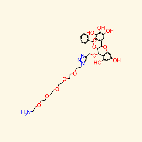 NCCOCCOCCOCCOCCOCCn1cc(COC2c3c(O)cc(O)cc3OC(c3cc(O)c(O)c(O)c3)C2OC(=O)c2ccccc2)nn1